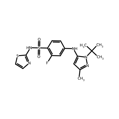 Cc1cc(Nc2ccc(S(=O)(=O)Nc3nccs3)c(F)c2)n(C(C)(C)C)n1